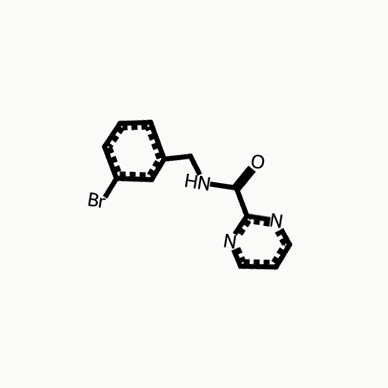 O=C(NCc1cccc(Br)c1)c1ncccn1